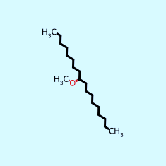 CCCCCCCCCC(CCCCCCCC)OC